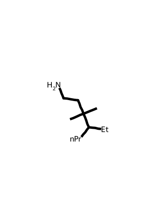 CCCC(CC)C(C)(C)CCN